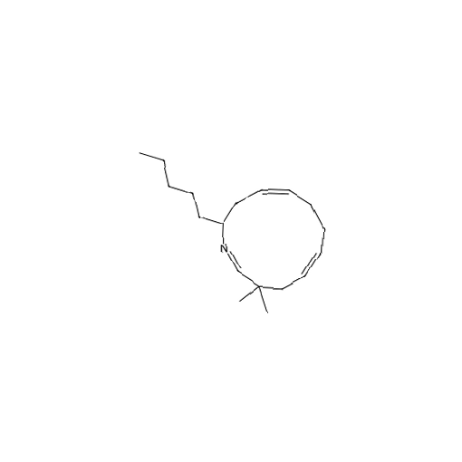 CCCCCC1CC=CCCC=CCC(C)(C)C=N1